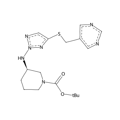 CC(C)(C)OC(=O)N1CCC[C@@H](Nn2ncc(SCc3cncnc3)n2)C1